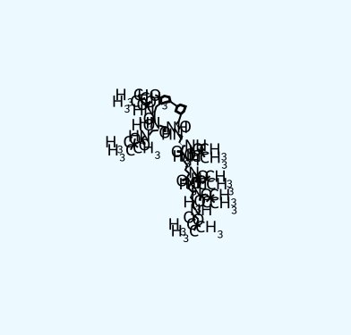 CC(C)(C)OC(=O)NCCC[C@@H](CNC(=O)C(CCCNC(=O)[C@H](CCNC(=O)[C@@H]1Cc2cccc(c2)-c2ccc(O)c(c2)C[C@H](NC(=O)OC(C)(C)C)C(=O)N[C@@H](C[C@@H](O)CNC(=O)OC(C)(C)C)C(=O)N1)NC(=O)OC(C)(C)C)NC(=O)OC(C)(C)C)NC(=O)OC(C)(C)C